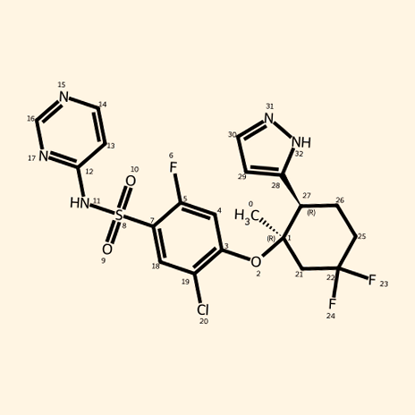 C[C@@]1(Oc2cc(F)c(S(=O)(=O)Nc3ccncn3)cc2Cl)CC(F)(F)CC[C@@H]1c1ccn[nH]1